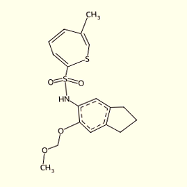 COCOc1cc2c(cc1NS(=O)(=O)C1=CC=CC(C)=CS1)CCC2